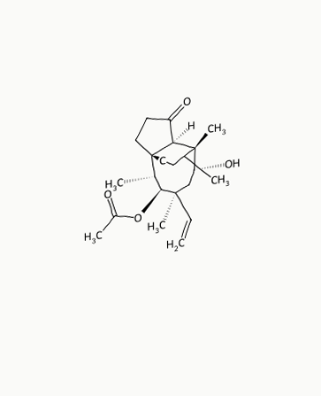 C=C[C@]1(C)C[C@@H](O)[C@]2(C)C(C)CC[C@]3(CCC(=O)[C@H]32)[C@@H](C)[C@@H]1OC(C)=O